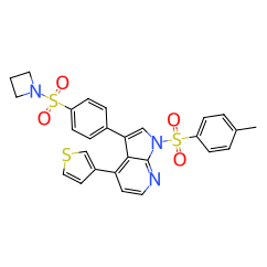 Cc1ccc(S(=O)(=O)n2cc(-c3ccc(S(=O)(=O)N4CCC4)cc3)c3c(-c4ccsc4)ccnc32)cc1